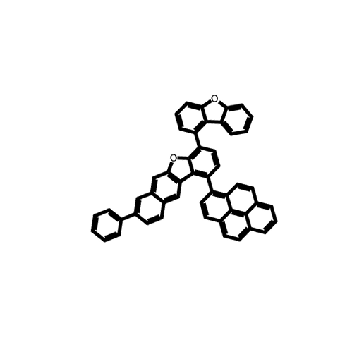 c1ccc(-c2ccc3cc4c(cc3c2)oc2c(-c3cccc5oc6ccccc6c35)ccc(-c3ccc5ccc6cccc7ccc3c5c67)c24)cc1